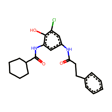 O=C(CCc1ccccc1)Nc1cc(Cl)c(O)c(NC(=O)C2CCCCC2)c1